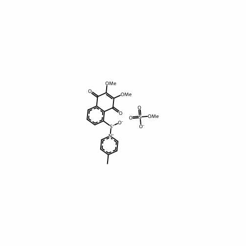 COC1=C(OC)C(=O)c2c(cccc2[S+]([O-])[n+]2ccc(C)cc2)C1=O.COS(=O)(=O)[O-]